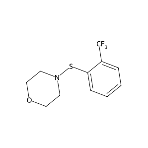 FC(F)(F)c1ccccc1SN1CCOCC1